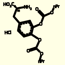 CCCOC(=O)Oc1ccc(C[C@H](N)C(=O)O)cc1OC(=O)OCCC.Cl